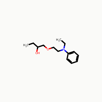 CCC(O)COCCN(CC)c1ccccc1